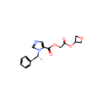 C[C@H](c1ccccc1)n1cncc1C(=O)OCC(=O)OC1COC1